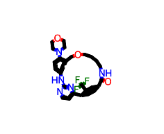 O=C1NCCCCOCc2cc(ccc2N2CCOCC2)Nc2nccc(n2)-c2ccc1cc2C(F)(F)F